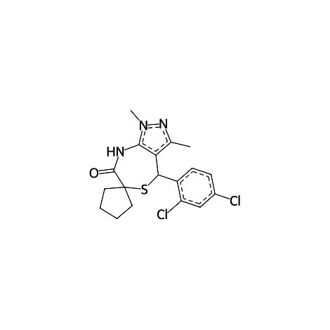 Cc1nn(C)c2c1C(c1ccc(Cl)cc1Cl)SC1(CCCC1)C(=O)N2